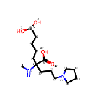 CNC(CCCCB(O)O)(CCCN1CCCC1)C(=O)O